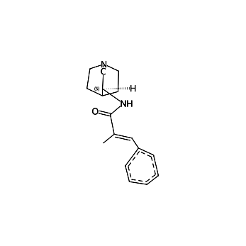 CC(=Cc1ccccc1)C(=O)N[C@@H]1CN2CCC1CC2